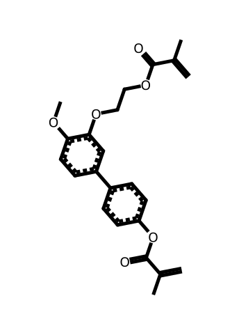 C=C(C)C(=O)OCCOc1cc(-c2ccc(OC(=O)C(=C)C)cc2)ccc1OC